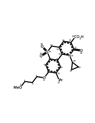 COCCCOc1cc2c(cc1C(C)C)-c1c(cc(C(=O)O)c(=O)n1C1CC1)CS2(=O)=O